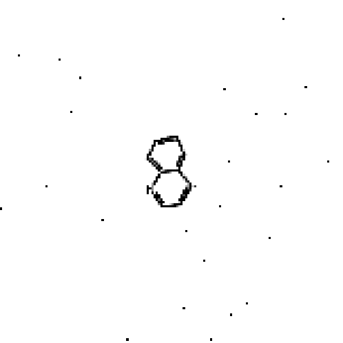 [c]1ccnc2ccccc12